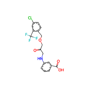 O=C(CNc1cccc(C(=O)O)c1)COCc1ccc(Cl)cc1C(F)(F)F